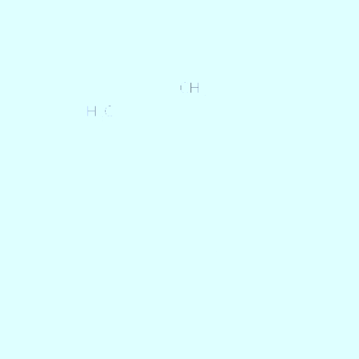 CCC(C)c1cccc2c1-c1ccccc1[CH]2